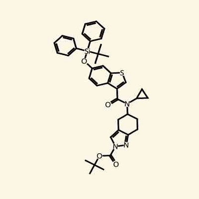 CC(C)(C)OC(=O)n1cc2c(n1)CCC(N(C(=O)c1csc3cc(O[Si](c4ccccc4)(c4ccccc4)C(C)(C)C)ccc13)C1CC1)C2